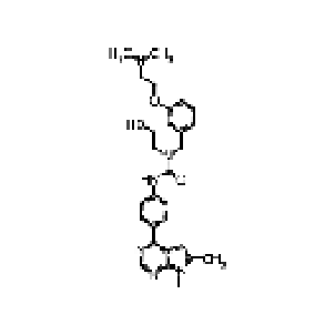 Cc1cc2c(-c3ccc(NC(=O)N(CCO)Cc4cccc(OCCN(C)C)c4)cc3)ncnc2[nH]1